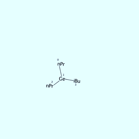 CC[CH2][Ge]([CH2]CC)[CH](C)CC